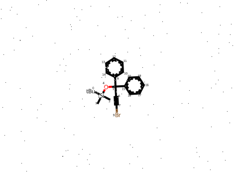 CC(C)(C)[Si](C)(C)OC(C#CBr)(c1ccccc1)c1ccccc1